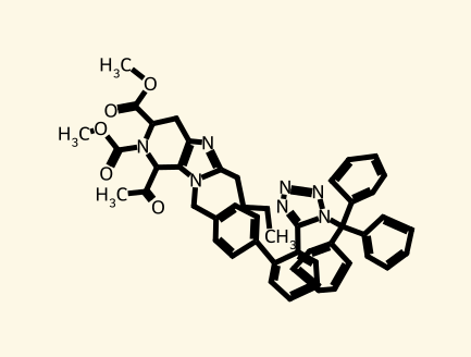 CCCCc1nc2c(n1Cc1ccc(-c3ccccc3-c3nnnn3C(c3ccccc3)(c3ccccc3)c3ccccc3)cc1)C(C(C)=O)N(C(=O)OC)C(C(=O)OC)C2